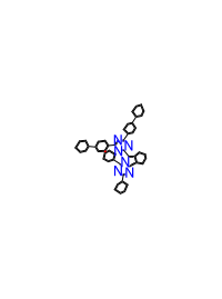 c1ccc(-c2ccc(-c3nc(-c4ccc(-c5ccccc5)cc4)nc(-c4c5ccccc5c5nc(-c6ccccc6)nc(-c6ccccc6)n45)n3)cc2)cc1